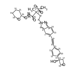 CC(CCn1cc2cc(C#Cc3ccc(C4(O)COC4)cc3)ccc2n1)(C(=O)NOC1CCCCO1)S(C)(=O)=O